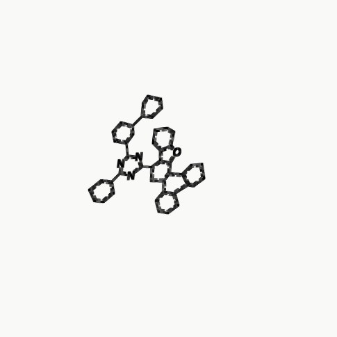 c1ccc(-c2cccc(-c3nc(-c4ccccc4)nc(-c4cc5c6ccccc6c6ccccc6c5c5oc6ccccc6c45)n3)c2)cc1